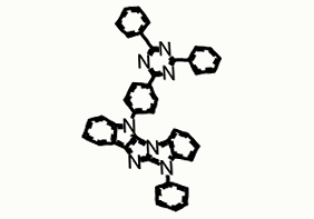 c1ccc(-c2nc(-c3ccccc3)nc(-c3ccc(-n4c5ccccc5c5nc6n(-c7ccccc7)c7ccccc7n6c54)cc3)n2)cc1